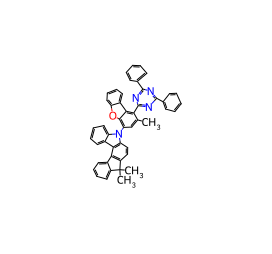 Cc1cc(-n2c3ccccc3c3c4c(ccc32)C(C)(C)c2ccccc2-4)c2oc3ccccc3c2c1-c1nc(-c2ccccc2)nc(-c2ccccc2)n1